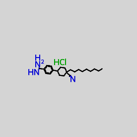 CCCCCCCCCC1(C#N)CCC(c2ccc(C(=N)N)cc2)CC1.Cl